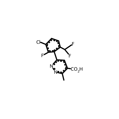 Cc1nnc(-c2c(C(F)F)ccc(Cl)c2F)cc1C(=O)O